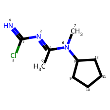 C/C(=N\C(=N)Cl)N(C)C1CCCC1